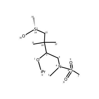 CC(C)OC(CN(C)S(C)(=O)=O)C(C)(C)C[S@@+](C)[O-]